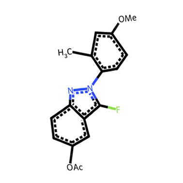 COc1ccc(-n2nc3ccc(OC(C)=O)cc3c2F)c(C)c1